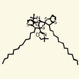 CCCCCCCCCCCCCC1c2sccc2SC1(SC1(C2=NC(C)(C)CO2)Sc2ccsc2C1CCCCCCCCCCCCC)C1=NC(C)(C)CO1